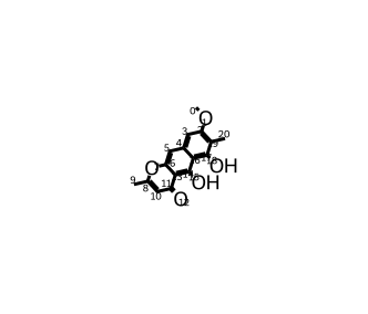 COc1cc2cc3oc(C)cc(=O)c3c(O)c2c(O)c1C